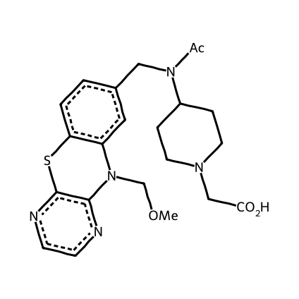 COCN1c2cc(CN(C(C)=O)C3CCN(CC(=O)O)CC3)ccc2Sc2nccnc21